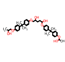 CC(O)COc1ccc(C(C)(C)c2ccc(OCC(O)CCC(O)Oc3ccc(C(C)(C)c4ccc(OC(C)O)cc4)cc3)cc2)cc1